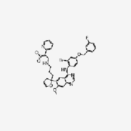 COc1cc2ncnc(Nc3ccc(OCc4cccc(F)c4)cc3Br)c2cc1C1(CCCNCC(c2ccccn2)=S(=O)=O)CC=CO1